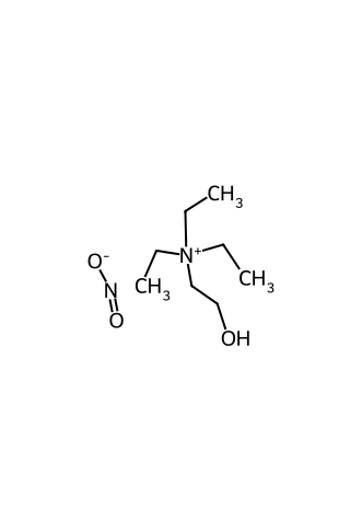 CC[N+](CC)(CC)CCO.O=N[O-]